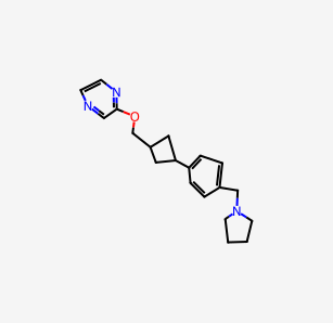 c1cnc(OCC2CC(c3ccc(CN4CCCC4)cc3)C2)cn1